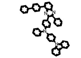 c1ccc(-c2ccc(-c3cccc4nc(-c5ccccc5)c(-c5ccc(N(c6ccccc6)c6ccc(-n7c8ccccc8c8ccccc87)cc6)cc5)nc34)cc2)cc1